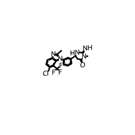 Cc1nc2ccc(Cl)c(C(F)(F)F)c2n1-c1cccc([C@]2(C)CC(=O)N(C)C(=N)N2)c1